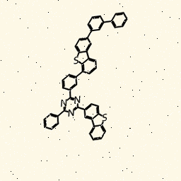 c1ccc(-c2cccc(-c3ccc4sc5c(-c6cccc(-c7nc(-c8ccccc8)nc(-c8ccc9sc%10ccccc%10c9c8)n7)c6)cccc5c4c3)c2)cc1